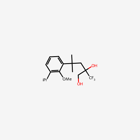 COc1c(C(C)C)cccc1C(C)(C)CC(O)(CO)C(F)(F)F